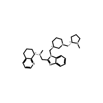 CN1CCC[C@H]1CN1CCC[C@H](Cn2c(CN(C)[C@H]3CCCc4cccnc43)nc3ccccc32)C1